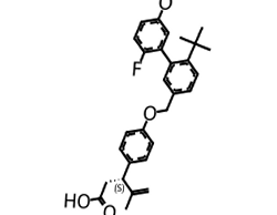 C=C(C)[C@H](CC(=O)O)c1ccc(OCc2ccc(C(C)(C)C)c(-c3cc(OC)ccc3F)c2)cc1